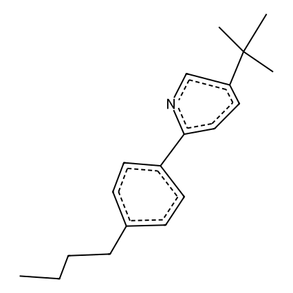 CCCCc1ccc(-c2ccc(C(C)(C)C)cn2)cc1